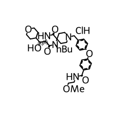 CCCCN1C(=O)[C@@H]([C@H](O)C2CCOCC2)NC(=O)C12CCN(Cc1ccc(Oc3ccc(C(=O)NCCOC)cc3)cc1)CC2.Cl